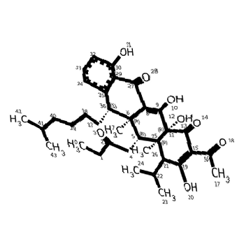 CCC(=O)C[C@@H]1[C@]2(C)C(=C(O)[C@@]3(O)C(=O)C(C(C)=O)=C(O)C(C(C)C)[C@@]13C)C(=O)c1c(O)cccc1[C@H]2CCCCC(C)C